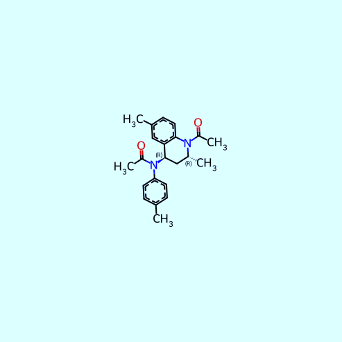 CC(=O)N1c2ccc(C)cc2[C@H](N(C(C)=O)c2ccc(C)cc2)C[C@H]1C